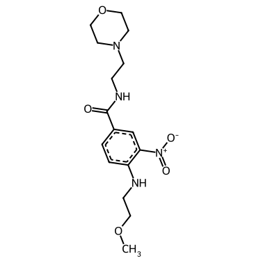 COCCNc1ccc(C(=O)NCCN2CCOCC2)cc1[N+](=O)[O-]